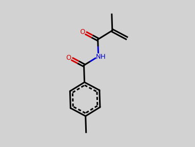 C=C(C)C(=O)NC(=O)c1ccc(C)cc1